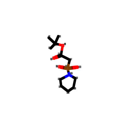 CC(C)(C)OC(=O)CS(=O)(=O)N1CCCCC1